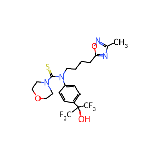 Cc1noc(CCCCN(C(=S)N2CCOCC2)c2ccc(C(O)(C(F)(F)F)C(F)(F)F)cc2)n1